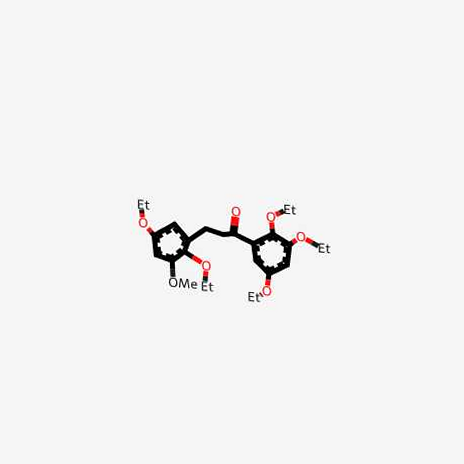 CCOc1cc(CCC(=O)c2cc(OCC)cc(OCC)c2OCC)c(OCC)c(OC)c1